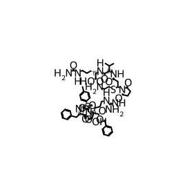 CC(C)[C@H](NC(=O)CC(SCCN)N1C(=O)CCC1=O)C(=O)N[C@@H](CCCNC(N)=O)C(=O)O.Cc1ccc(S(=O)(=O)N(C(=O)[C@@H](N)Cc2ccccc2)[C@@](CCCNC(=N)N)(C(=O)O)C(=O)OCc2ccccc2)cc1